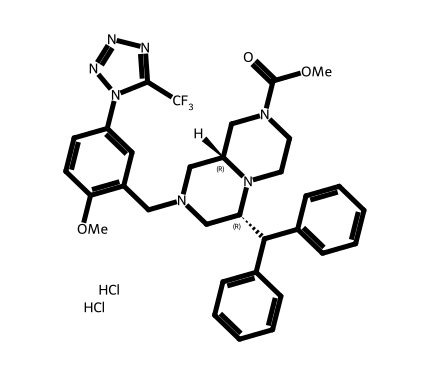 COC(=O)N1CCN2[C@H](CN(Cc3cc(-n4nnnc4C(F)(F)F)ccc3OC)C[C@H]2C(c2ccccc2)c2ccccc2)C1.Cl.Cl